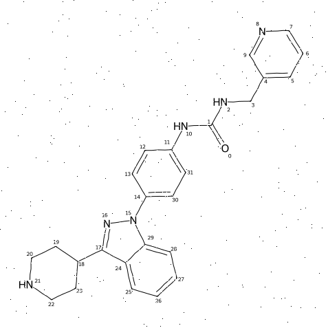 O=C(NCc1cccnc1)Nc1ccc(-n2nc(C3CCNCC3)c3ccccc32)cc1